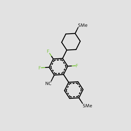 CSc1ccc(-c2c(F)c(C3CCC(SC)CC3)c(F)c(F)c2C#N)cc1